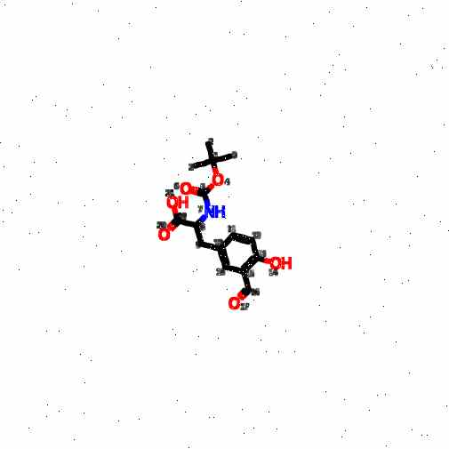 CC(C)(C)OC(=O)NC(Cc1ccc(O)c(C=O)c1)C(=O)O